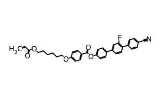 C=CC(=O)OCCCCCCOc1ccc(C(=O)Oc2ccc(-c3ccc(-c4ccc(C#N)cc4)c(F)c3)cc2)cc1